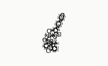 C[C@@H](CNC(=O)c1c(Cl)cc(N2CCC(N3CCOCC3)CC2)cc1Cl)C(=O)Oc1ccccc1N1C(=O)C2(CC2)c2cccc(Cl)c21